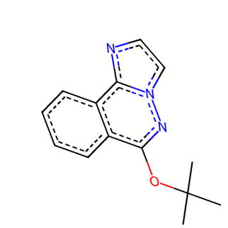 CC(C)(C)Oc1nn2ccnc2c2ccccc12